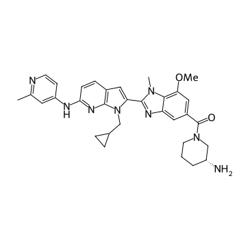 COc1cc(C(=O)N2CCC[C@@H](N)C2)cc2nc(-c3cc4ccc(Nc5ccnc(C)c5)nc4n3CC3CC3)n(C)c12